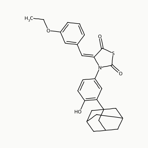 CCOc1cccc(C=C2C(=O)SC(=O)N2c2ccc(O)c(C34CC5CC(CC(C5)C3)C4)c2)c1